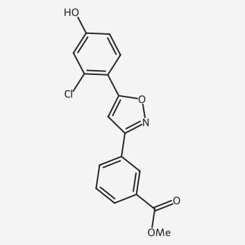 COC(=O)c1cccc(-c2cc(-c3ccc(O)cc3Cl)on2)c1